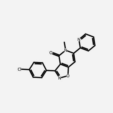 Cn1c(-c2ccccn2)cc2onc(-c3ccc(Cl)cc3)c2c1=O